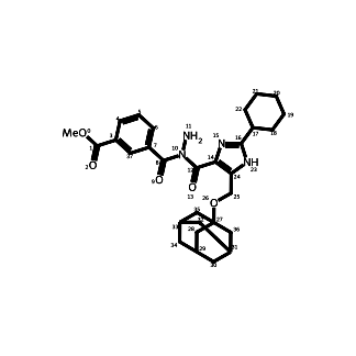 COC(=O)c1cccc(C(=O)N(N)C(=O)c2nc(C3CCCCC3)[nH]c2COC23CC4CC(CC(C4)C2)C3)c1